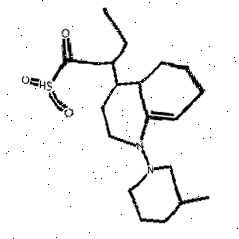 CCC(C(=O)[SH](=O)=O)C1CCN(N2CCCC(C)C2)C2=CCCCC21